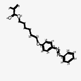 C=C(C)C(=O)OCCCCCCOc1ccc(N=Nc2ccccc2)cc1